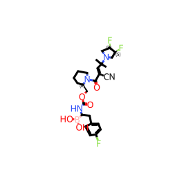 CC(C)(C=C(C#N)C(=O)N1CCCC[C@@H]1COC(=O)NC(Cc1ccc(F)cc1)B(O)O)N1C[C@@H](F)[C@@H](F)C1